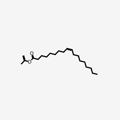 C=C(C)OC(=O)CCCCCCC/C=C\CCCCCCCC